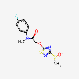 CN(C(=O)COc1nc([S+](C)[O-])ns1)c1ccc(F)cc1